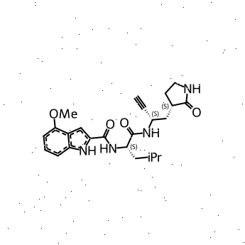 C#C[C@H](C[C@@H]1CCNC1=O)NC(=O)[C@H](CC(C)C)NC(=O)c1cc2c(OC)cccc2[nH]1